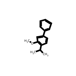 COc1cc(-c2ccccc2)ccc1C(C)C